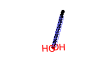 CC(C)=CCC/C(C)=C/C=C/C(C)=C/C=C/C(C)=C/C=C/C=C(C)/C=C/C=C(C)/C=C/C=C(C)/C=C/C(O)C(C)(C)O